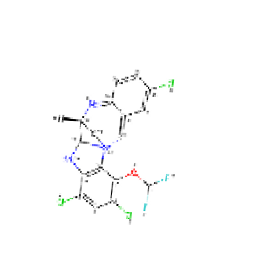 FC(F)Oc1c(Cl)cc(Cl)c2c1[N@+]13C=c4cc(Cl)ccc4=N[C@H](C1)C3N2